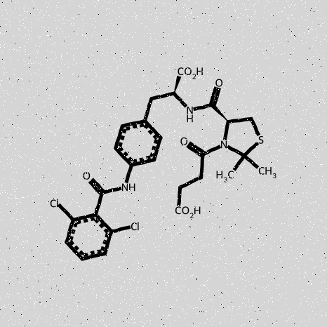 CC1(C)SC[C@H](C(=O)N[C@@H](Cc2ccc(NC(=O)c3c(Cl)cccc3Cl)cc2)C(=O)O)N1C(=O)CCC(=O)O